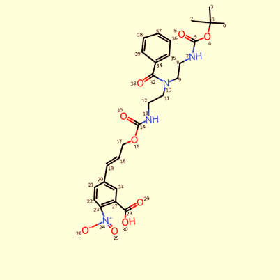 CC(C)(C)OC(=O)NCCN(CCNC(=O)OC/C=C/c1ccc([N+](=O)[O-])c(C(=O)O)c1)C(=O)c1ccccc1